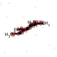 C=CC(=O)OCCCCOc1ccc(C(=O)Oc2ccc(OC(=O)C3CCC(C(=O)Oc4ccc(OC(=O)c5ccc(OCCCCOC(=O)C=C)c(C(C)O)c5)c(C(=O)O)c4)CC3)cc2C(=O)OCCOCC)cc1